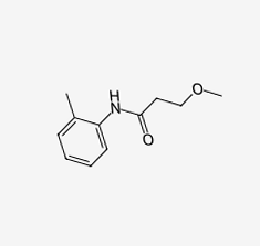 COCCC(=O)Nc1ccccc1C